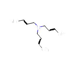 CCCC=CCN(CC=CCCC)CC=CCCC